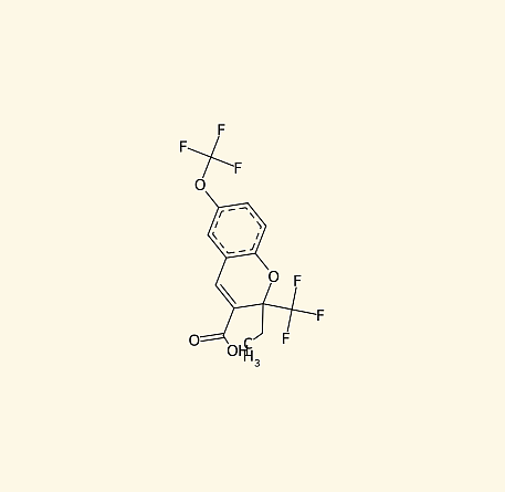 CCC1(C(F)(F)F)Oc2ccc(OC(F)(F)F)cc2C=C1C(=O)O